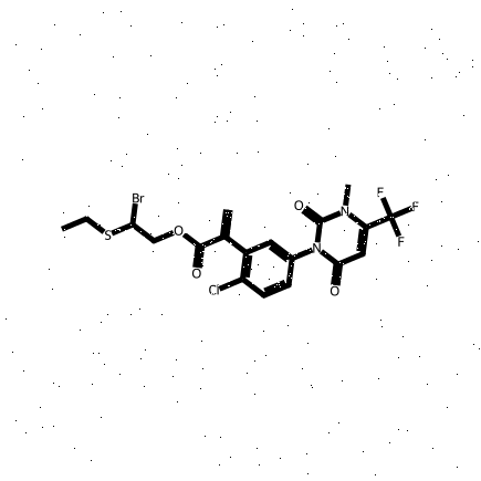 C=C(C(=O)OCC(Br)SCC)c1cc(-n2c(=O)cc(C(F)(F)F)n(C)c2=O)ccc1Cl